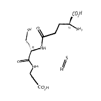 N[C@@H](CCC(=O)N[C@@H](CS)C(=O)NCC(=O)O)C(=O)O.[S]=[Fe]